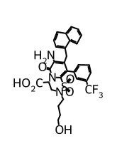 Nc1c(Cc2cccc3ccccc23)c(-c2cccc(C(F)(F)F)c2)c2n(c1=O)C(C(=O)O)CN(CCCCO)S2(=O)=O